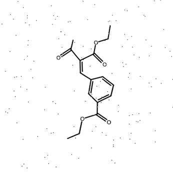 CCOC(=O)C(=Cc1cccc(C(=O)OCC)c1)C(C)=O